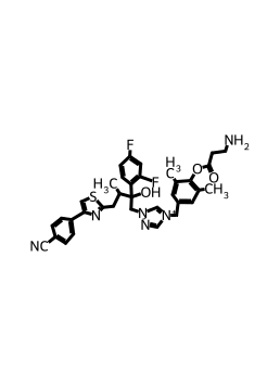 Cc1cc(C[n+]2cnn(CC(O)(c3ccc(F)cc3F)C(C)Cc3nc(-c4ccc(C#N)cc4)cs3)c2)cc(C)c1OC(=O)CCN